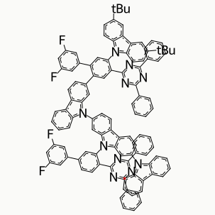 CC(C)(C)c1ccc2c(c1)c1cc(C(C)(C)C)ccc1n2-c1cc(-c2cc(F)cc(F)c2)c(-c2ccc3c4ccccc4n(-c4ccc5c6ccc(-n7c8ccccc8c8ccccc87)cc6n(-c6cc(-c7cc(F)cc(F)c7)ccc6-c6nc(-c7ccccc7)nc(-c7ccccc7)n6)c5c4)c3c2)cc1-c1nc(-c2ccccc2)nc(-c2ccccc2)n1